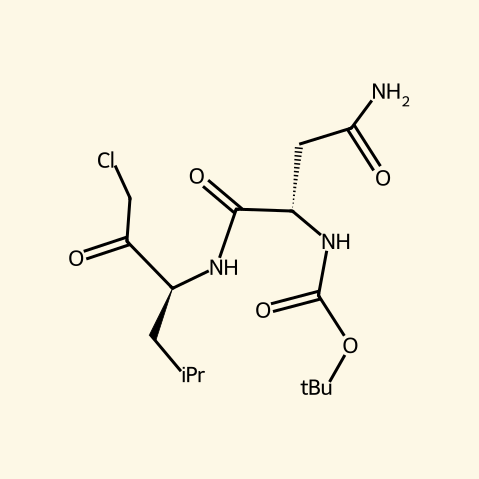 CC(C)C[C@H](NC(=O)[C@H](CC(N)=O)NC(=O)OC(C)(C)C)C(=O)CCl